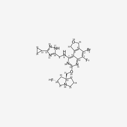 Fc1c(Br)c2c(c3c(NCc4nc(C5CC5)n[nH]4)nc(OC[C@@]45CCCN4C[C@H](F)C5)nc13)COC2